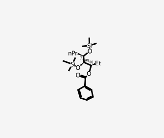 CCC[C@@H](O[Si](C)(C)C)[C@H](O[Si](C)(C)C)[C@@H](CC)OC(=O)c1ccccc1